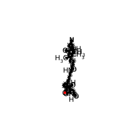 CCc1cc2c(cc1N1CCN(CCC(=O)NCCCCCCNc3cccc4c(=C=O)n(C5CCC(=C=O)NC5=C=O)c(=C=O)c34)CC1)C(C)(C)c1[nH]c3cc(C#N)ccc3c1C2=C=O